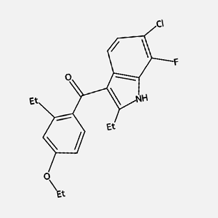 CCOc1ccc(C(=O)c2c(CC)[nH]c3c(F)c(Cl)ccc23)c(CC)c1